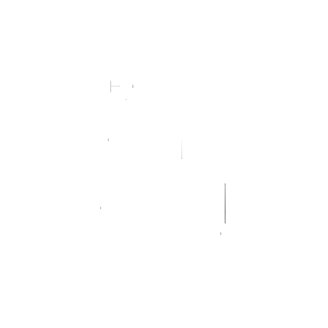 C=CC(CC)S(=O)(=O)O